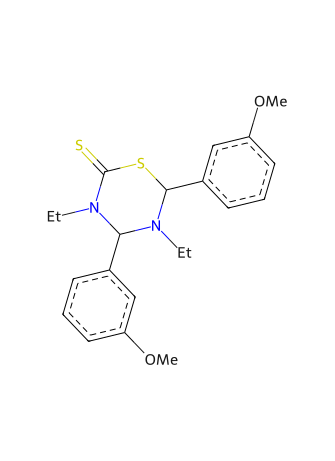 CCN1C(=S)SC(c2cccc(OC)c2)N(CC)C1c1cccc(OC)c1